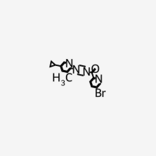 Cc1cc(C2CC2)cnc1N1CCN(C(=O)c2ccc(Br)cn2)CC1